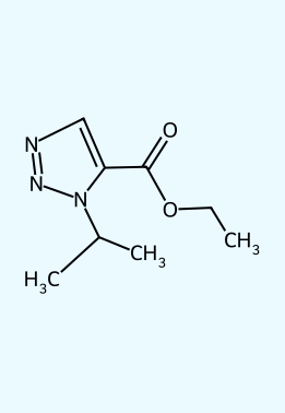 CCOC(=O)c1cnnn1C(C)C